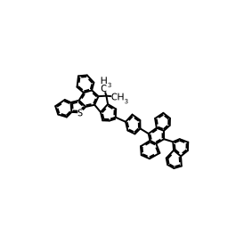 CC1(C)c2cc(-c3ccc(-c4c5ccccc5c(-c5cccc6ccccc56)c5ccccc45)cc3)ccc2-c2c1c1ccccc1c1c2sc2ccccc21